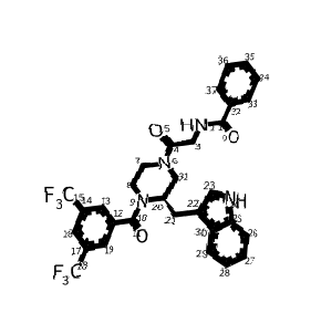 O=C(NCC(=O)N1CCN(C(=O)c2cc(C(F)(F)F)cc(C(F)(F)F)c2)[C@H](Cc2c[nH]c3ccccc23)C1)c1ccccc1